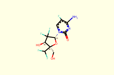 Nc1nc(=O)n([C@@H]2O[C@@](CO)(C(F)F)[C@@H](O)C2(F)F)cc1F